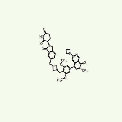 COc1cc(-c2cn(C)c(=O)c3cnc(N4CCC4)cc23)cc(OC)c1CN1CC(Oc2ccc3c(c2)C(=O)N(C2CCC(=O)NC2=O)C3)C1